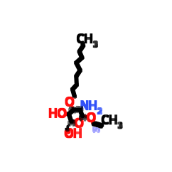 C/C=C\O[C@H]1O[C@H](CO)C(O)[C@H](OCCCCCCCCCC)[C@H]1N